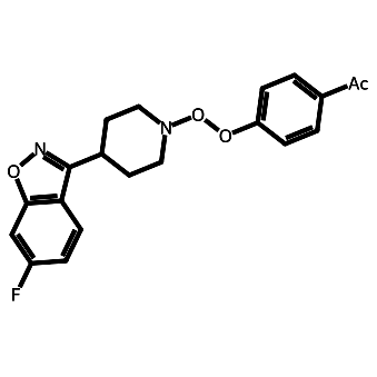 CC(=O)c1ccc(OON2CCC(c3noc4cc(F)ccc34)CC2)cc1